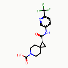 O=C(Nc1ccc(C(F)(F)F)nc1)[C@H]1CC12CCN(C(=O)O)CC2